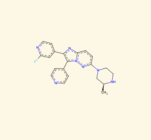 C[C@H]1CN(c2ccc3nc(-c4ccnc(F)c4)c(-c4ccncc4)n3n2)CCN1